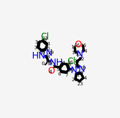 C[C@H](NC(=O)c1ccc(-n2c(CCN3CCOCC3)nc3c2CCC3)c(Cl)c1)c1nc2cc(Cl)ccc2[nH]1